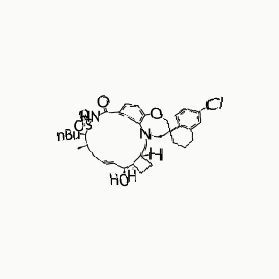 CCCC[C@@H]1[C@H](C)C/C=C/[C@H](O)[C@@H]2CC[C@H]2CN2C[C@@]3(CCCc4cc(Cl)ccc43)COc3ccc(cc32)C(=O)NS1(=O)=O